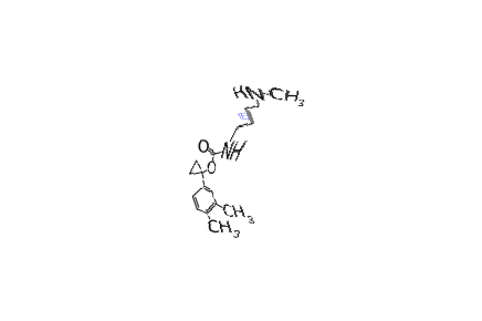 CNC/C=C/CNC(=O)OC1(c2ccc(C)c(C)c2)CC1